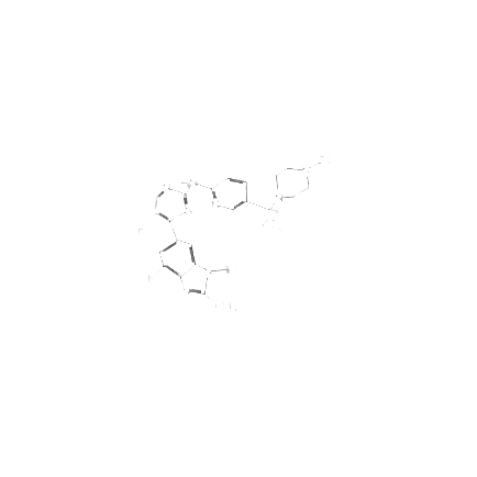 CCN1CCN([C@@H](c2ccc(Nc3ncc(F)c(-c4cc(F)c5nc(C)n(C(C)C)c5c4)n3)nc2)C(F)(F)F)CC1